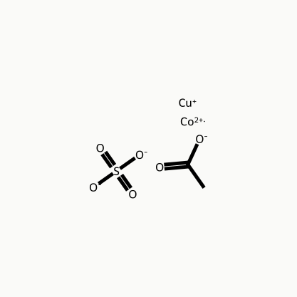 CC(=O)[O-].O=S(=O)([O-])[O-].[Co+2].[Cu+]